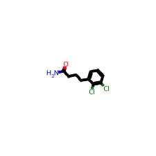 NC(=O)CCCc1cccc(Cl)c1Cl